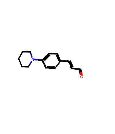 O=CC=Cc1ccc(N2CCCCC2)cc1